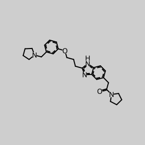 O=C(Cc1ccc2[nH]c(CCCOc3cccc(CN4CCCC4)c3)nc2c1)N1CCCC1